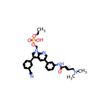 CCOP(=O)(O)OCn1cc(-c2cccc(C#N)c2)c2cc(-c3cccc(NC(=O)/C=C/CN(C)C)c3)cnc21